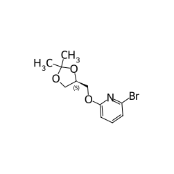 CC1(C)OC[C@H](COc2cccc(Br)n2)O1